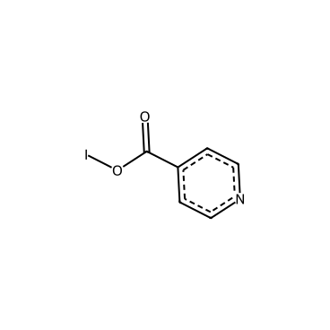 O=C(OI)c1ccncc1